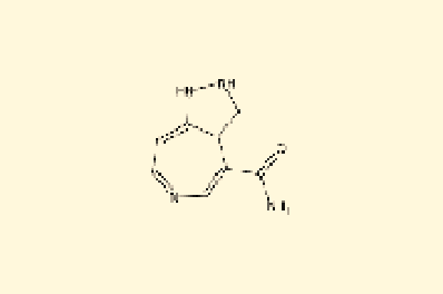 NC(=O)C1=CN=CC=C2NNCC21